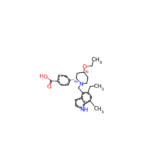 CCO[C@H]1CCN(Cc2c(CC)cc(C)c3[nH]ccc23)[C@H](c2ccc(C(=O)O)cc2)C1